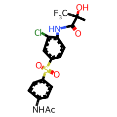 CC(=O)Nc1ccc(S(=O)(=O)c2ccc(NC(=O)C(C)(O)C(F)(F)F)c(Cl)c2)cc1